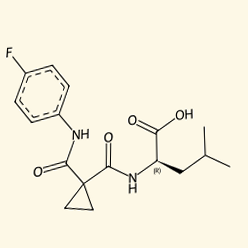 CC(C)C[C@@H](NC(=O)C1(C(=O)Nc2ccc(F)cc2)CC1)C(=O)O